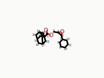 O=C(OCC1OC1C1CCCCC1)C12CC3CC(CC(C3)C1)C2